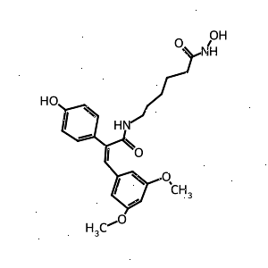 COc1cc(C=C(C(=O)NCCCCCC(=O)NO)c2ccc(O)cc2)cc(OC)c1